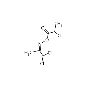 CC(=NOC(=O)C(C)Cl)C(Cl)Cl